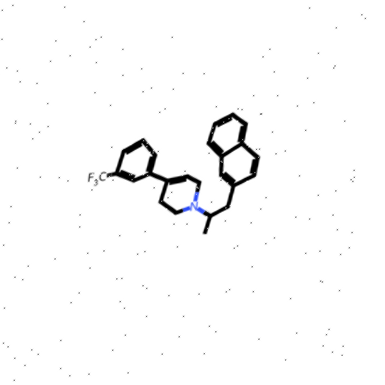 CC(Cc1ccc2ccccc2c1)N1CC=C(c2cccc(C(F)(F)F)c2)CC1